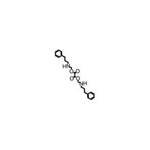 O=C(OCNCCCc1ccccc1)C(=O)OCNCCCc1ccccc1